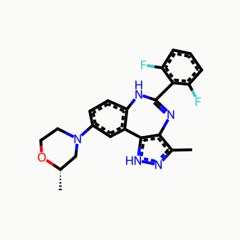 Cc1n[nH]c2c1N=C(c1c(F)cccc1F)Nc1ccc(N3CCO[C@@H](C)C3)cc1-2